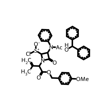 C=C(C)C(C(=O)OCc1ccc(OC)cc1)N1C(=O)C(N(C(C)=O)c2ccccc2)C1[S+]([O-])Cl.OC(c1ccccc1)c1ccccc1